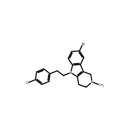 CN1CCc2c(c3cc(Br)ccc3n2CCc2ccc(Cl)cc2)C1